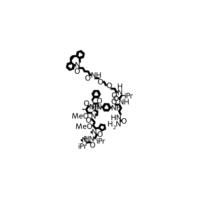 CO[C@H]([C@@H](C)C(=O)N[C@@H](Cc1ccccc1)C(=O)Nc1ccc(NC(=O)C(CCCNC(N)=O)NC(=O)[C@@H](NC(=O)CCOCCOCCNC(=O)CCCC(=O)N2Cc3ccccc3C#Cc3ccccc32)C(C)C)cc1)[C@@H]1CCCN1C(=O)C[C@@H](OC)[C@H](C1CCCC1)N(C)C(=O)[C@@H](NC(=O)[C@H](C(C)C)N(C)C)C(C)C